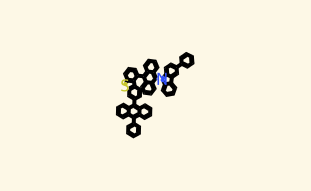 C1=C=C(c2c3ccccc3c(-n3c4ccccc4c4cc(-c5ccccc5)ccc43)c3ccccc23)c2c(sc3cc(-c4c5ccccc5c(-c5ccccc5)c5ccccc45)ccc23)C=1